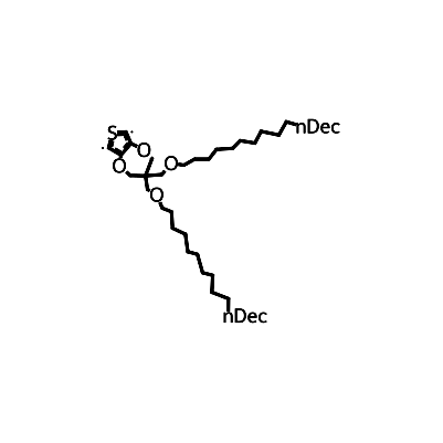 CCCCCCCCCCCCCCCCCCCCOCC1(COCCCCCCCCCCCCCCCCCCCC)COc2[c]s[c]c2OC1